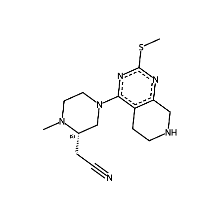 CSc1nc2c(c(N3CCN(C)[C@@H](CC#N)C3)n1)CCNC2